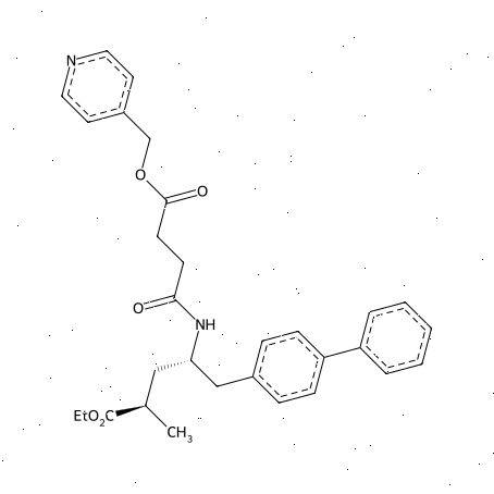 CCOC(=O)[C@H](C)C[C@@H](Cc1ccc(-c2ccccc2)cc1)NC(=O)CCC(=O)OCc1ccncc1